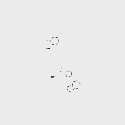 N#CCC1(n2ccc(-c3ncnc4[nH]ccc34)c2)CN(C2CCN(C(=O)c3ccc(C(F)(F)F)cc3F)CC2)C1